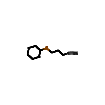 CCCCCCCCCSC1[CH]CC[CH]C1